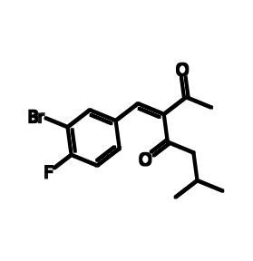 CC(=O)C(=Cc1ccc(F)c(Br)c1)C(=O)CC(C)C